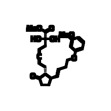 COC(=O)C(O)(O)CC=C=CC[C@H]1C(=O)CC[C@@H]1/C=C/CCOc1cccc(OC)c1